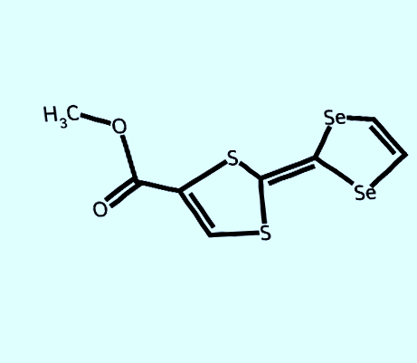 COC(=O)C1=CSC(=C2[Se]C=C[Se]2)S1